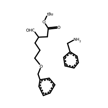 CC(C)(C)OC(=O)CC(C=O)CCCOCc1ccccc1.NCc1ccccc1